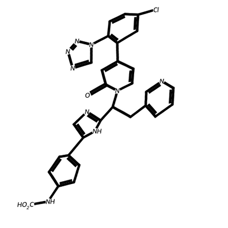 O=C(O)Nc1ccc(-c2cnc(C(Cc3cccnc3)n3ccc(-c4cc(Cl)ccc4-n4cnnn4)cc3=O)[nH]2)cc1